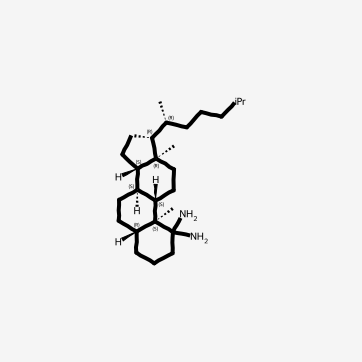 CC(C)CCC[C@@H](C)[C@H]1CC[C@H]2[C@@H]3CC[C@H]4CCCC(N)(N)[C@]4(C)[C@H]3CC[C@]12C